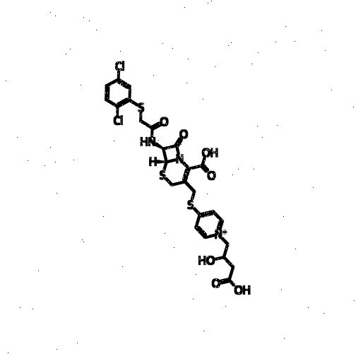 O=C(O)CC(O)C[n+]1ccc(SCC2=C(C(=O)O)N3C(=O)[C@H](NC(=O)CSc4cc(Cl)ccc4Cl)[C@H]3SC2)cc1